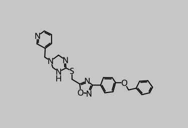 c1ccc(COc2ccc(-c3noc(CSC4=NCN(Cc5cccnc5)CN4)n3)cc2)cc1